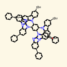 CC(C)(C)c1ccc2c(c1)c1cc(C(C)(C)C)ccc1n2-c1cc(-n2c3ccc(C(C)(C)C)cc3c3cc(C(C)(C)C)ccc32)c(-n2c3ccc(-c4ccccc4)cc3n3c4cc(-c5ccccc5)ccc4nc23)cc1-n1c2ccc(-c3ccccc3)cc2n2c3cc(-c4ccccc4)ccc3nc12